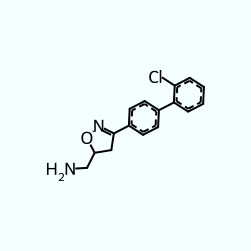 NCC1CC(c2ccc(-c3ccccc3Cl)cc2)=NO1